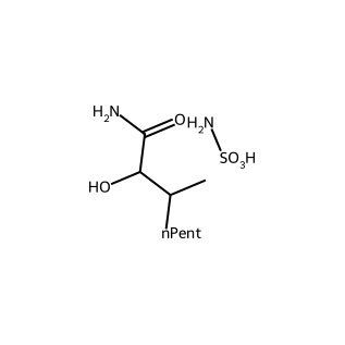 CCCCCC(C)C(O)C(N)=O.NS(=O)(=O)O